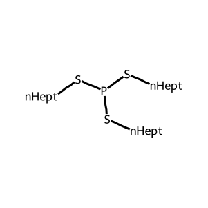 CCCCCCCSP(SCCCCCCC)SCCCCCCC